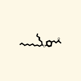 CCC=CCC(CCCCCCCCC)Oc1ccc(CCC(C)=O)cc1